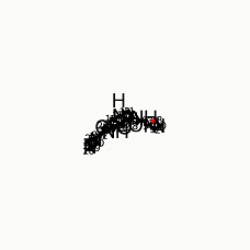 CN1CCN(CCC(=O)Nc2ccc3[nH]c4ccc(NC(=O)CCN5CCN(C)CC5)cc4c(=O)c3c2)CC1